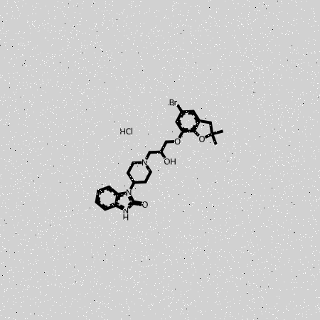 CC1(C)Cc2cc(Br)cc(OCC(O)CN3CCC(n4c(=O)[nH]c5ccccc54)CC3)c2O1.Cl